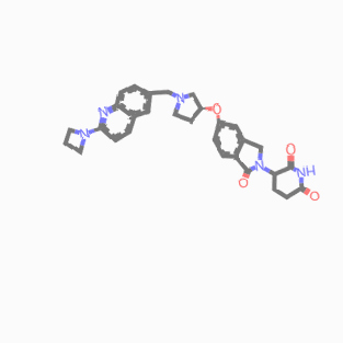 O=C1CCC(N2Cc3cc(O[C@H]4CCN(Cc5ccc6nc(N7CCC7)ccc6c5)C4)ccc3C2=O)C(=O)N1